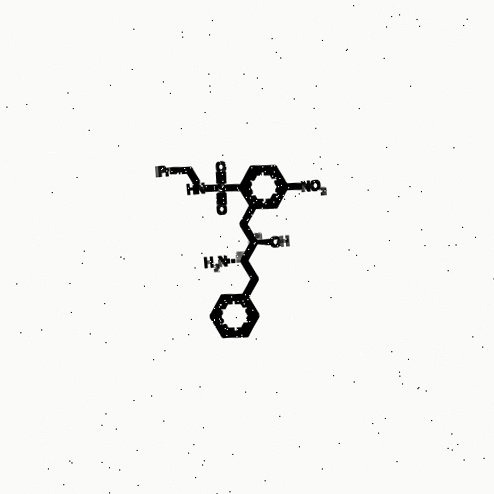 CC(C)CNS(=O)(=O)c1ccc([N+](=O)[O-])cc1C[C@@H](O)[C@@H](N)Cc1ccccc1